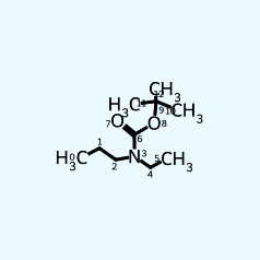 CCCN(CC)C(=O)OC(C)(C)C